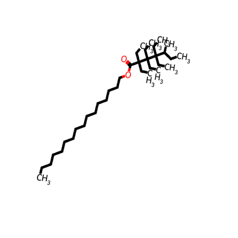 CCCCCCCCCCCCCCCCOC(=O)C(CC)(CC)C(CC)(CC)C(CC)(CC)C(C)CC